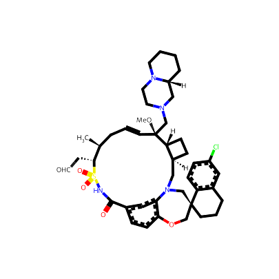 CO[C@]1(CN2CCN3CCCC[C@@H]3C2)/C=C/C[C@H](C)[C@@H](CC=O)S(=O)(=O)NC(=O)c2ccc3c(c2)N(C[C@@H]2CC[C@H]21)C[C@@]1(CCCc2cc(Cl)ccc21)CO3